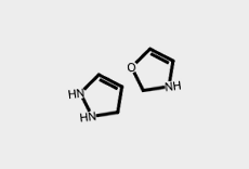 C1=CNNC1.C1=COCN1